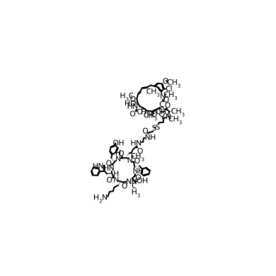 COc1cc2cc(c1Cl)N(C)C(=O)C[C@H](OC(=O)[C@H](C)N(C)C(=O)CCSSCC(=O)NCCNC(=O)CCC[C@H]1C(=O)N[C@@H](Cc3ccc(O)cc3)C(=O)N[C@H](Cc3c[nH]c4ccccc34)C(=O)N[C@@H](CCCCCN)C(=O)N[C@@H]([C@@H](C)O)C(=O)N[C@@H](Cc3ccccc3)C(=O)N1C)[C@]1(C)O[C@H]1[C@H](C)[C@@H]1C[C@@](O)(NC(=O)O1)[C@H](OC)/C=C/C=C(\C)C2